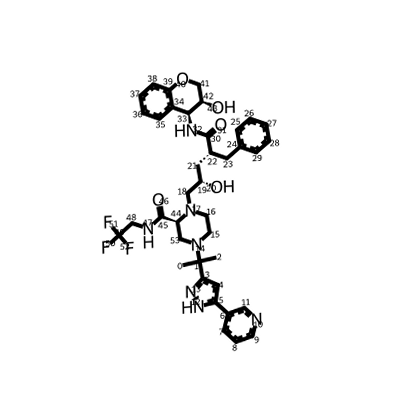 CC(C)(c1cc(-c2cccnc2)[nH]n1)N1CCN(C[C@@H](O)C[C@@H](Cc2ccccc2)C(=O)N[C@H]2c3ccccc3OC[C@H]2O)[C@H](C(=O)NCC(F)(F)F)C1